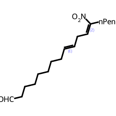 CCCCC/C(=C/C/C=C/CCCCCCC[C]=O)[N+](=O)[O-]